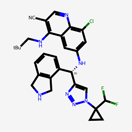 CC(C)(C)CNc1c(C#N)cnc2c(Cl)cc(N[C@H](c3cn(C4(C(F)F)CC4)nn3)c3cccc4c3CNC4)cc12